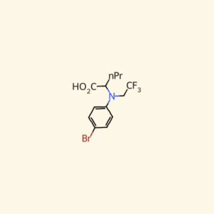 CCCC(C(=O)O)N(CC(F)(F)F)c1ccc(Br)cc1